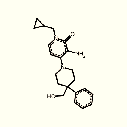 Nc1c(N2CCC(CO)(c3ccccc3)CC2)ccn(CC2CC2)c1=O